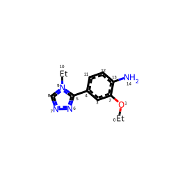 CCOc1cc(-c2nncn2CC)ccc1N